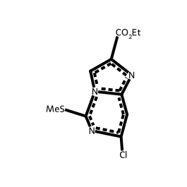 CCOC(=O)c1cn2c(SC)nc(Cl)cc2n1